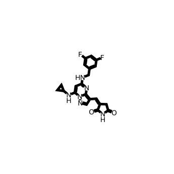 O=C1CC(=Cc2cnn3c(NC4CC4)cc(NCc4cc(F)cc(F)c4)nc23)C(=O)N1